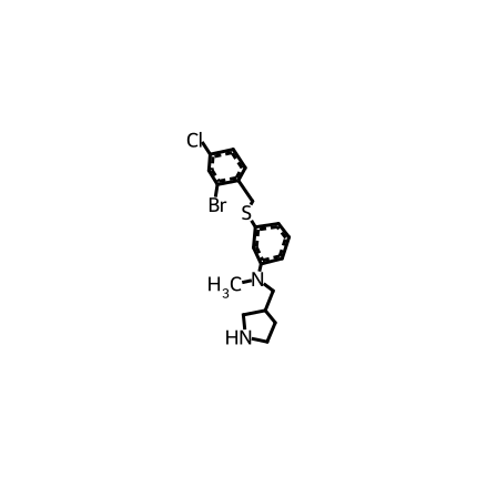 CN(CC1CCNC1)c1cccc(SCc2ccc(Cl)cc2Br)c1